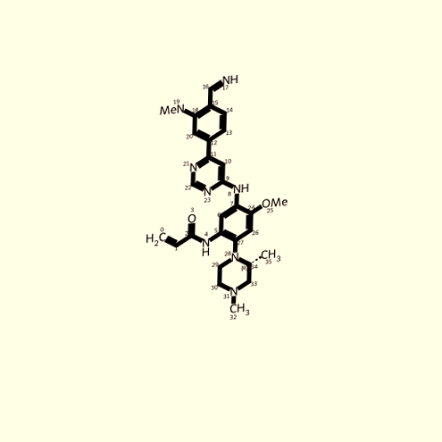 C=CC(=O)Nc1cc(Nc2cc(-c3ccc(C=N)c(NC)c3)ncn2)c(OC)cc1N1CCN(C)C[C@H]1C